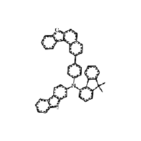 CC1(C)c2ccccc2-c2c(N(c3ccc(-c4ccc5ccc6oc7ccccc7c6c5c4)cc3)c3ccc4c(c3)sc3ccccc34)cccc21